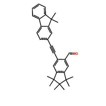 CC1(C)c2ccccc2-c2ccc(C#Cc3cc4c(cc3C=O)C(C)(C)C(C)(C)C4(C)C)cc21